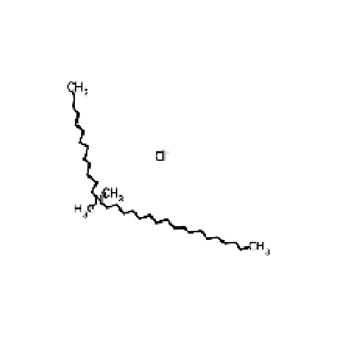 CCCCCCCCCCCCCCCCCC[N+](C)(C)CCCCCCCCCCCCC.[Cl-]